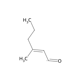 CCCC(C)=C[C]=O